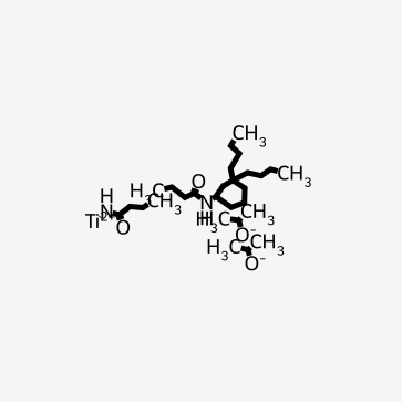 CC(C)[O-].CC(C)[O-].CCCC(=O)[NH][Ti+2].CCCCC1(CCCC)CCCC(NC(=O)CCC)C1